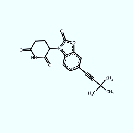 CC(C)(C)C#Cc1ccc2c(c1)oc(=O)n2C1CCC(=O)NC1=O